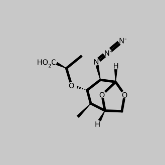 C[C@H]1[C@H](O[C@H](C)C(=O)O)[C@@H](N=[N+]=[N-])[C@@H]2OC[C@H]1O2